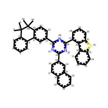 CC1(C)c2ccccc2-c2cc(-c3nc(-c4ccc5ccccc5c4)nc(-c4cccc5sc6ccccc6c45)n3)ccc2C1(C)C